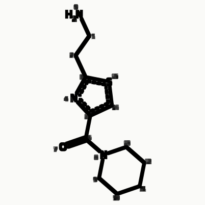 NCCc1nc(C(=O)N2CCCCC2)cs1